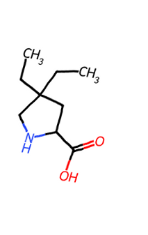 CCC1(CC)CNC(C(=O)O)C1